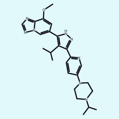 COc1cc(-c2[nH]nc(-c3ccc(N4CCN(C(C)C)CC4)cn3)c2C(C)C)cn2ncnc12